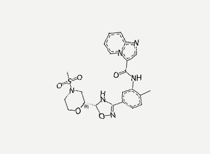 Cc1ccc(C2=NOC([C@H]3CN(S(C)(=O)=O)CCO3)N2)cc1NC(=O)c1cnc2ccccn12